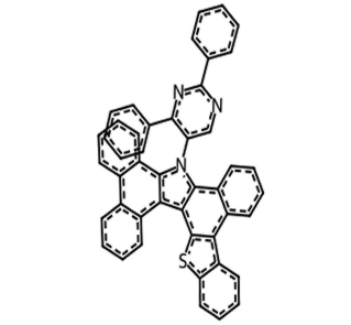 c1ccc(-c2ncc(-n3c4c5ccccc5c5ccccc5c4c4c5sc6ccccc6c5c5ccccc5c43)c(-c3ccccc3)n2)cc1